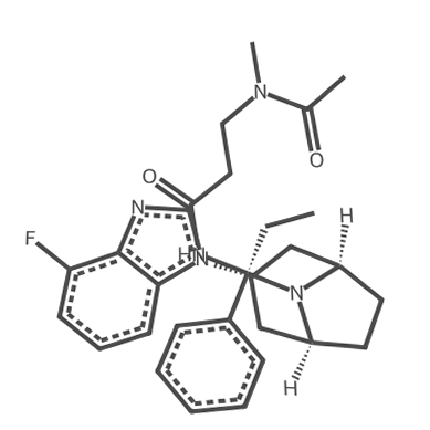 CC[C@@](NC(=O)CCN(C)C(C)=O)(c1ccccc1)N1[C@@H]2CC[C@H]1C[C@H](n1cnc3c(F)cccc31)C2